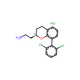 Cl.NCC[C@H]1CCc2cccc(-c3c(Cl)cccc3Cl)c2O1